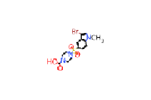 Cn1cc(Br)c2cc(S(=O)(=O)N3CCN(C(=O)O)CC3)ccc21